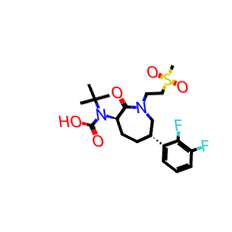 CC(C)(C)N(C(=O)O)[C@@H]1CC[C@@H](c2cccc(F)c2F)CN(CCS(C)(=O)=O)C1=O